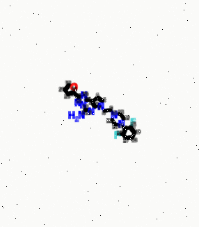 Nc1nc2c(ccn2CCN2CCN(c3c(F)cccc3F)CC2)c2nc(-c3ccco3)nn12